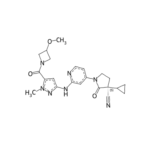 COC1CN(C(=O)c2cc(Nc3cc(N4CC[C@@](C#N)(C5CC5)C4=O)ccn3)nn2C)C1